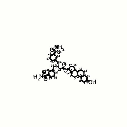 C[C@]12CCC3c4ccc(O)cc4CCC3C1CC[C@@H]2OC(=O)CN(Cc1cccc(S(N)(=O)=O)c1)Cc1cccc(S(N)(=O)=O)c1